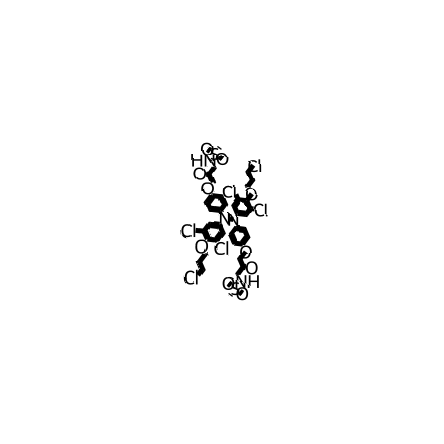 CS(=O)(=O)NCC(=O)COc1ccc(N(c2cc(Cl)c(OCCCCl)c(Cl)c2)N(c2ccc(OCC(=O)CNS(C)(=O)=O)cc2)c2cc(Cl)c(OCCCCl)c(Cl)c2)cc1